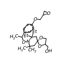 CCC1(CC)CC2(CC(C)(C)N1OC(C)c1ccc(OCC3CO3)cc1)OCC(CO)O2